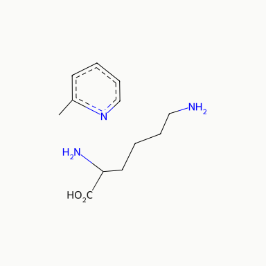 Cc1ccccn1.NCCCCC(N)C(=O)O